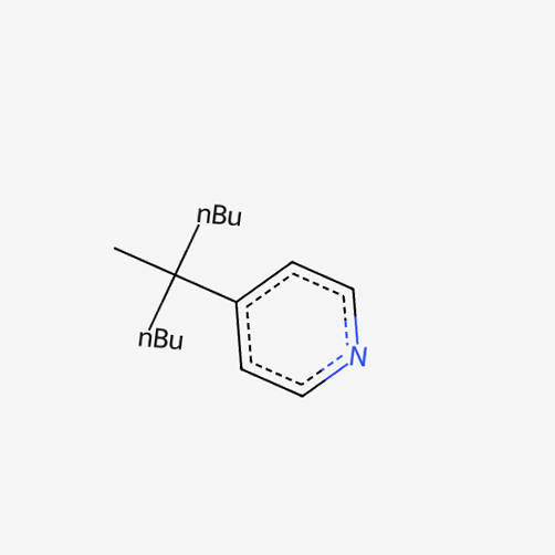 CCCCC(C)(CCCC)c1ccncc1